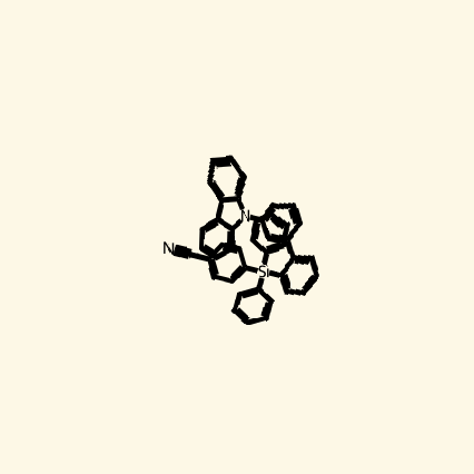 N#Cc1ccc([Si](c2ccccc2)(c2ccccc2)c2ccccc2-c2cccc(-n3c4ccccc4c4ccccc43)c2)cc1